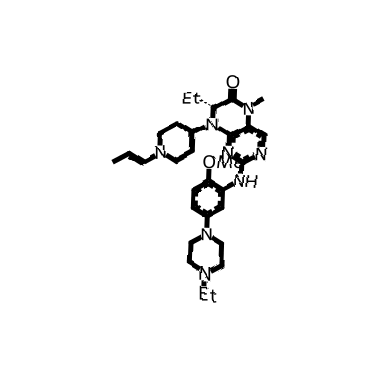 CC=CN1CCC(N2c3nc(Nc4cc(N5CCN(CC)CC5)ccc4OC)ncc3N(C)C(=O)[C@H]2CC)CC1